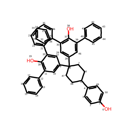 Oc1ccc(C2CCC(c3cc(-c4ccccc4)c(O)c(-c4ccccc4)c3)(c3cc(-c4ccccc4)c(O)c(-c4ccccc4)c3)CC2)cc1